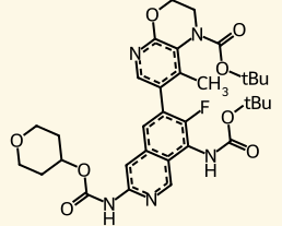 Cc1c(-c2cc3cc(NC(=O)OC4CCOCC4)ncc3c(NC(=O)OC(C)(C)C)c2F)cnc2c1N(C(=O)OC(C)(C)C)CCO2